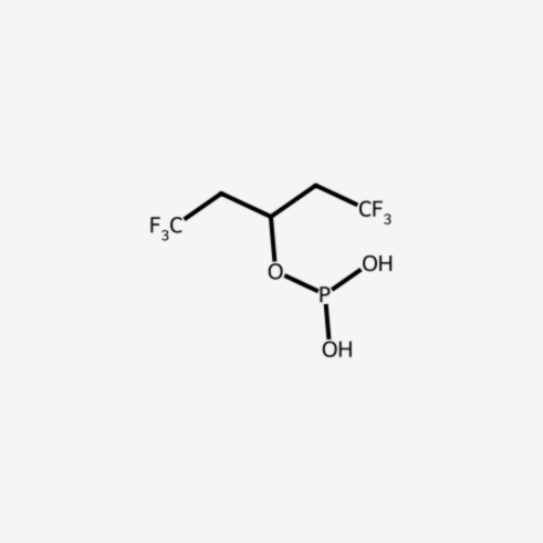 OP(O)OC(CC(F)(F)F)CC(F)(F)F